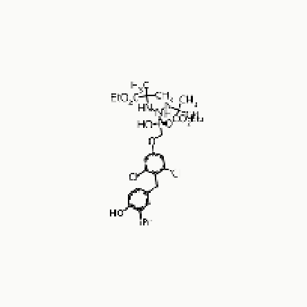 CCOC(=O)C(C)(C)NN(NC(C)(C)C(=O)OCC)P(=O)(O)COc1cc(Cl)c(Cc2ccc(O)c(C(C)C)c2)c(Cl)c1